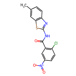 Cc1ccc2nc(NC(=O)c3cc([N+](=O)[O-])ccc3Cl)sc2c1